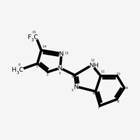 Cc1cn(-c2nc3ccccc3[nH]2)nc1C(F)(F)F